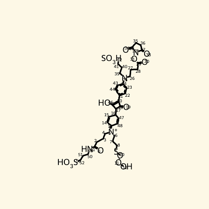 O=C(CCC[N+](CCCSOOO)=C1C=CC(C2C(=O)C(c3ccc(N(CCCC(=O)ON4C(=O)CCC4=O)CCCS(=O)(=O)O)cc3)=C2O)C=C1)NCCCS(=O)(=O)O